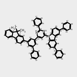 CC1(C)c2ccccc2-c2ccc(-c3cc(-c4ccccc4)cc(-c4cc(-n5c6ccc(-c7ccccc7)cc6c6cc(-c7ccccc7)ccc65)nc(-c5ccccc5)n4)c3)cc21